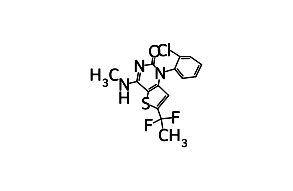 CNc1nc(=O)n(-c2ccccc2Cl)c2cc(C(C)(F)F)sc12